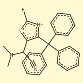 CN(C)C(C#N)c1nc(F)[nH]c1C(c1ccccc1)(c1ccccc1)c1ccccc1